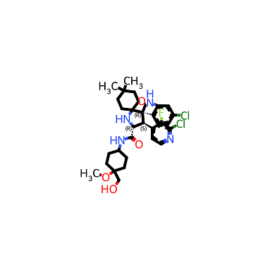 COC1(CO)CCC(NC(=O)[C@@H]2NC3(CCC(C)(C)CC3)[C@@]3(C(=O)Nc4cc(Cl)ccc43)[C@H]2c2ccnc(Cl)c2F)CC1